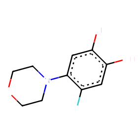 Oc1cc(F)c(N2CCOCC2)cc1O